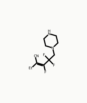 CCC(C#N)=C(F)C(F)(F)CN1CCNCC1